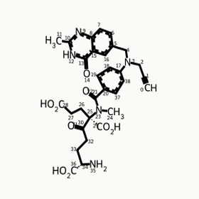 C#CCN(Cc1ccc2nc(C)[nH]c(=O)c2c1)c1ccc(C(=O)N(C)[C@@](CCC(=O)O)(C(=O)O)C(=O)CC[C@H](N)C(=O)O)cc1